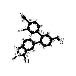 Cn1nc2ccc(-c3ccc(C=O)cc3-c3ccc(C#N)c(F)c3)cc2c1Cl